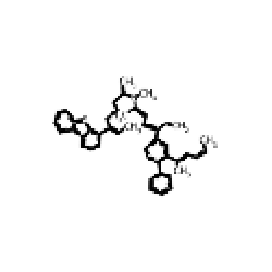 C=C/C(=C\C=C(/C)N(C)C(=C)CCC/C(=C\C)c1cccc2c1sc1ccccc12)c1ccc(-c2ccccc2)c(/C(C)=C/C=C\C)c1